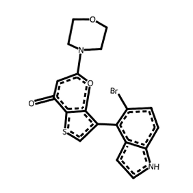 O=c1cc(N2CCOCC2)oc2c(-c3c(Br)ccc4[nH]ccc34)csc12